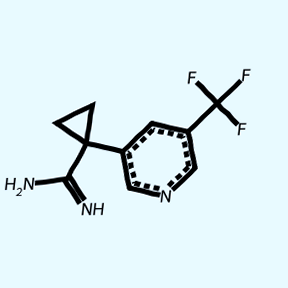 N=C(N)C1(c2cncc(C(F)(F)F)c2)CC1